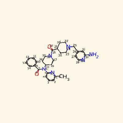 Cc1cccc(N(C(=O)c2ccccc2)C2CCN(C(=O)C3CCN(Cc4ccnc(N)c4)CC3)CC2)n1